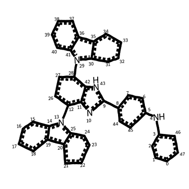 c1ccc(Nc2ccc(-c3nc4c(-n5c6ccccc6c6ccccc65)ccc(-n5c6ccccc6c6ccccc65)c4[nH]3)cc2)cc1